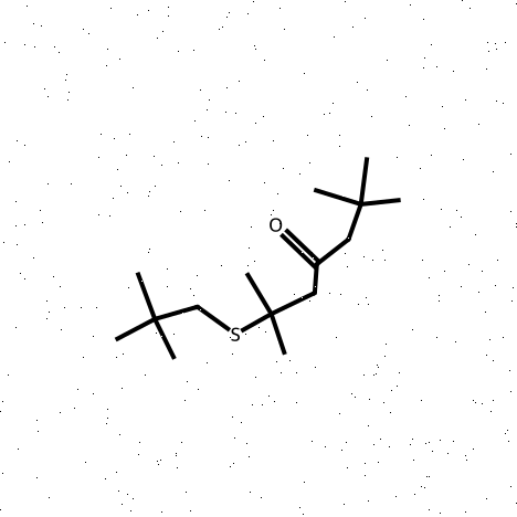 CC(C)(C)CSC(C)(C)CC(=O)CC(C)(C)C